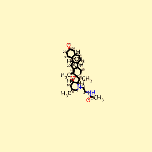 CC(=O)NCCN1C[C@@H](C)C[C@H]2O[C@]3(CC[C@@H]4C(=C3C)C[C@H]3[C@H]4CC[C@@H]4CC(=O)CC[C@@]43C)[C@H](C)[C@@H]21